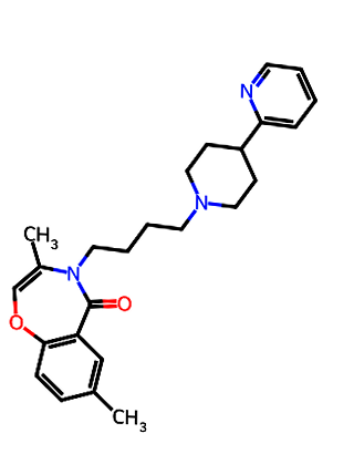 CC1=COc2ccc(C)cc2C(=O)N1CCCCN1CCC(c2ccccn2)CC1